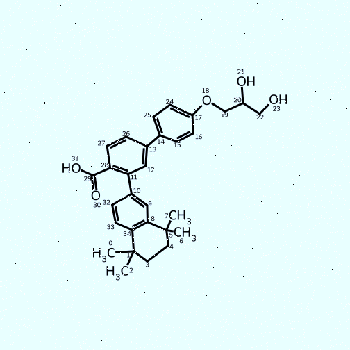 CC1(C)CCC(C)(C)c2cc(-c3cc(-c4ccc(OCC(O)CO)cc4)ccc3C(=O)O)ccc21